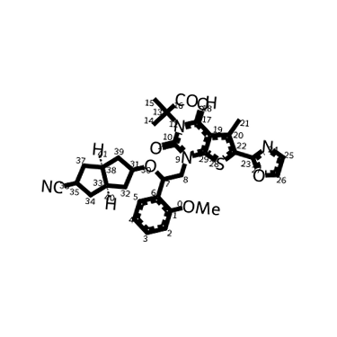 COc1ccccc1C(Cn1c(=O)n(C(C)(C)C(=O)O)c(=O)c2c(C)c(-c3ncco3)sc21)OC1C[C@H]2CC(C#N)C[C@H]2C1